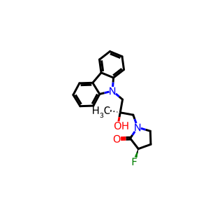 C[C@@](O)(CN1CC[C@@H](F)C1=O)Cn1c2ccccc2c2ccccc21